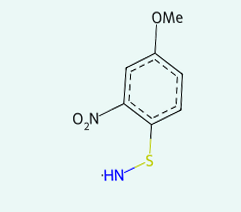 COc1ccc(S[NH])c([N+](=O)[O-])c1